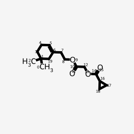 CC1(C)CCC=C(CCOC(=O)COC(=O)C2CC2)C1